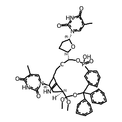 COC1(OC)OC(c2ccccc2)(c2ccccc2)c2cccc(c2)P(=O)(O)OC([C@@H]2CC[C@H](n3cc(C)c(=O)[nH]c3=O)O2)CCC2C(=N)[C@@H]1C[C@H]2n1cc(C)c(=O)[nH]c1=O